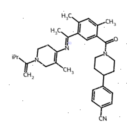 C=C(C(C)C)N1CCC(/N=C(\C)c2cc(C(=O)N3CCC(c4ccc(C#N)cc4)CC3)c(C)cc2C)=C(C)C1